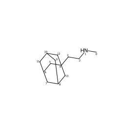 CNCCC12CC3CC(CC(C3)C1)C2